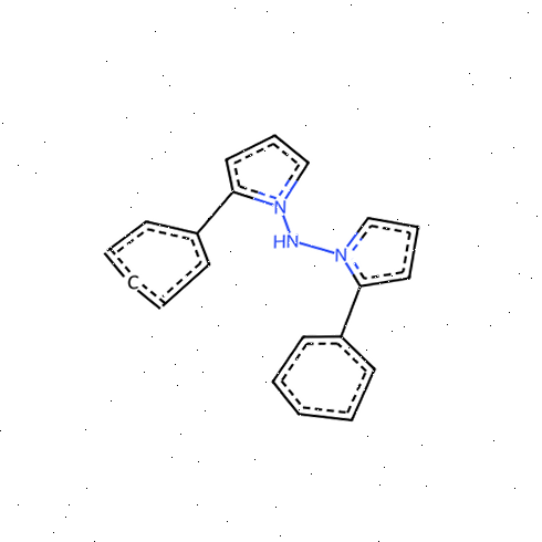 c1ccc(-c2cccn2Nn2cccc2-c2ccccc2)cc1